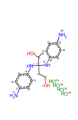 CC(O)C(CCO)(Nc1ccc(N)cc1)Nc1ccc(N)cc1.Cl.Cl.Cl.Cl